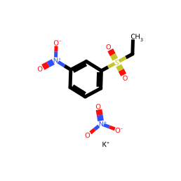 CCS(=O)(=O)c1cccc([N+](=O)[O-])c1.O=[N+]([O-])[O-].[K+]